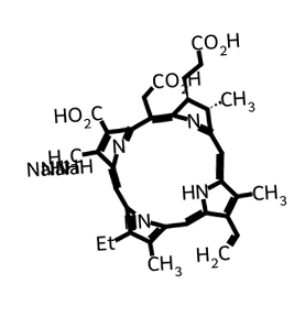 C=Cc1c(C)c2cc3nc(c(CC(=O)O)c4nc(cc5[nH]c(cc1[nH]2)c(C)c5CC)C(C)=C4C(=O)O)[C@@H](CCC(=O)O)[C@@H]3C.[NaH].[NaH].[NaH]